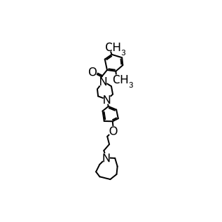 Cc1ccc(C)c(C(=O)N2CCN(c3ccc(OCCCN4CCCCCCC4)cc3)CC2)c1